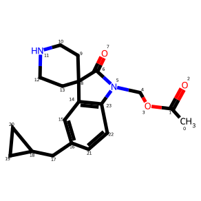 CC(=O)OCN1C(=O)C2(CCNCC2)c2cc(CC3CC3)ccc21